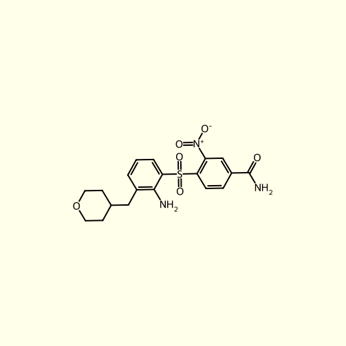 NC(=O)c1ccc(S(=O)(=O)c2cccc(CC3CCOCC3)c2N)c([N+](=O)[O-])c1